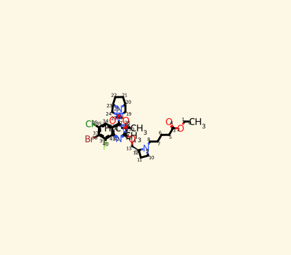 CCOC(=O)CCCCN1CC[C@H]1COc1nc(N2CC3CCC(C2)N3C(=O)OC(C)(C)C)c2cc(Cl)c(Br)c(F)c2n1